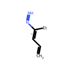 C=C/C=C(\CC)N=N